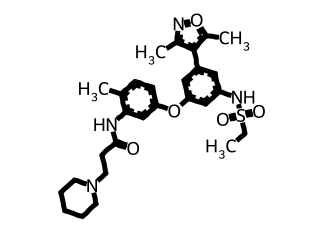 CCS(=O)(=O)Nc1cc(Oc2ccc(C)c(NC(=O)CCN3CCCCC3)c2)cc(-c2c(C)noc2C)c1